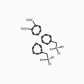 CC[N+](CC)(CC)Cc1ccccc1.CC[N+](CC)(CC)Cc1ccccc1.O=C([O-])c1ccccc1C(=O)[O-]